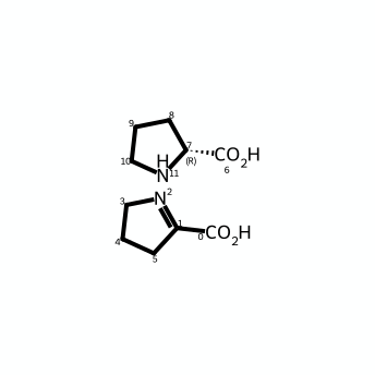 O=C(O)C1=NCCC1.O=C(O)[C@H]1CCCN1